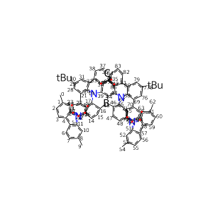 Cc1ccc2c3ccc(C)cc3n(-c3ccc4c(c3)N(c3c(-c5ccccc5)cc(C(C)(C)C)cc3-c3ccccc3)c3cccc5c3B4c3ccc(-n4c6cc(C)ccc6c6ccc(C)cc64)cc3N5c3c(-c4ccccc4)cc(C(C)(C)C)cc3-c3ccccc3)c2c1